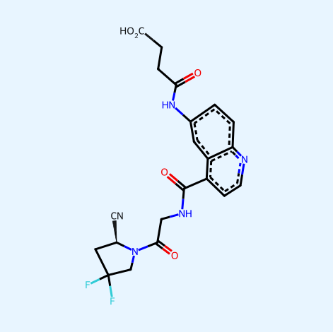 N#C[C@@H]1CC(F)(F)CN1C(=O)CNC(=O)c1ccnc2ccc(NC(=O)CCC(=O)O)cc12